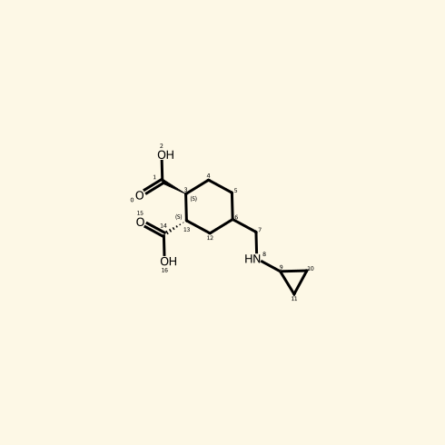 O=C(O)[C@H]1CCC(CNC2CC2)C[C@@H]1C(=O)O